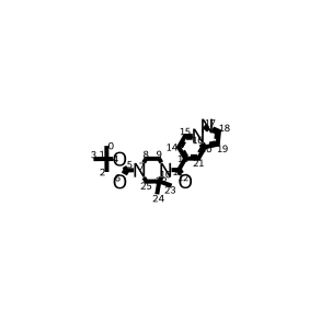 CC(C)(C)OC(=O)N1CCN(C(=O)c2ccn3nccc3c2)C(C)(C)C1